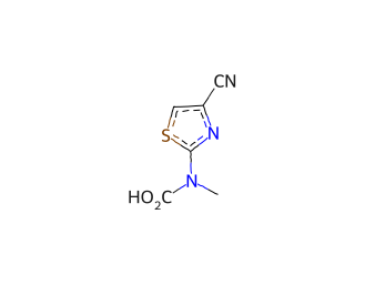 CN(C(=O)O)c1nc(C#N)cs1